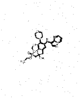 CCOP(=O)(CC1(C)Cc2cc(Nc3cnn4cccnc34)c(N3CCOCC3)cc2O1)OCC